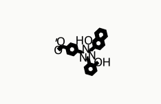 COC(=O)c1ccc(-c2nc(-c3ccccc3O)nc(-c3ccc4ccccc4c3O)n2)cc1